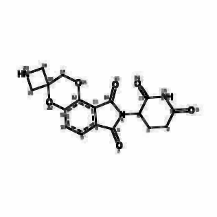 O=C1CCC(N2C(=O)c3ccc4c(c3C2=O)OCC2(CNC2)O4)C(=O)N1